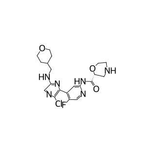 O=C(Nc1cc(-c2nc(NCC3CCOCC3)cnc2Cl)c(F)cn1)[C@H]1CNCCO1